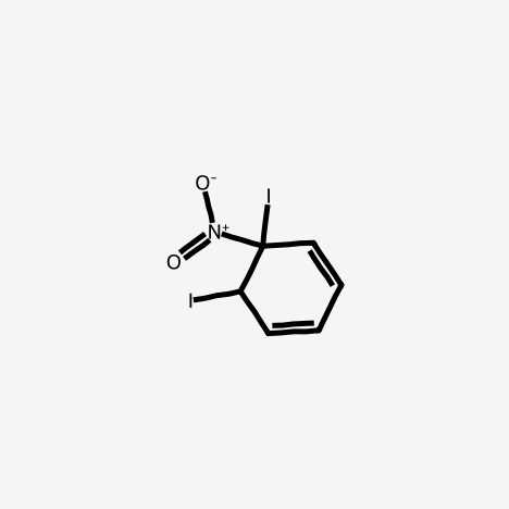 O=[N+]([O-])C1(I)C=CC=CC1I